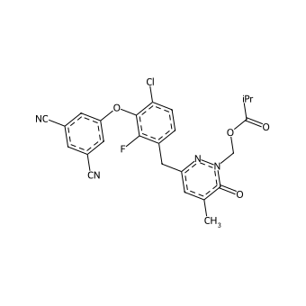 Cc1cc(Cc2ccc(Cl)c(Oc3cc(C#N)cc(C#N)c3)c2F)nn(COC(=O)C(C)C)c1=O